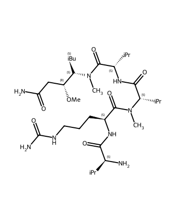 CC[C@H](C)[C@@H]([C@@H](CC(N)=O)OC)N(C)C(=O)[C@@H](NC(=O)[C@H](C(C)C)N(C)C(=O)[C@H](CCCNC(N)=O)NC(=O)[C@@H](N)C(C)C)C(C)C